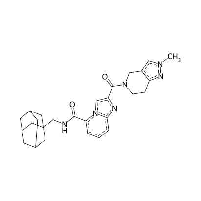 Cn1cc2c(n1)CCN(C(=O)c1cn3c(C(=O)NCC45CC6CC(CC(C6)C4)C5)cccc3n1)C2